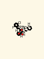 N#C[C@@H](C[C@H]1CCCNC1=O)NC(=O)[C@@H]1[C@H]2CC[C@H](CC2(F)F)N1C(=O)c1cc2c(F)ccc(Cl)c2[nH]1